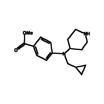 COC(=O)c1ccc(N(CC2CC2)C2CCNCC2)cc1